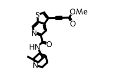 COC(=O)C#Cc1csc2cnc(C(=O)NC3C4CCN(CC4)C3C)cc12